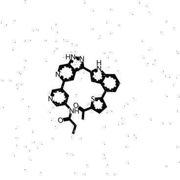 CCC(=O)Nc1cncc(-c2cc3c(-c4cc5c(-c6ccc(C(C)=O)s6)cccc5[nH]4)n[nH]c3cn2)c1